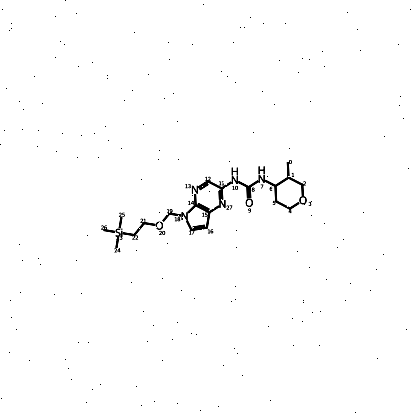 CC1COCCC1NC(=O)Nc1cnc2c(ccn2COCC[Si](C)(C)C)n1